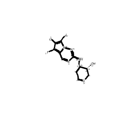 CC(C)c1c(Cl)c(F)c2cnc(N[C@@H]3CCOC[C@H]3O)nn12